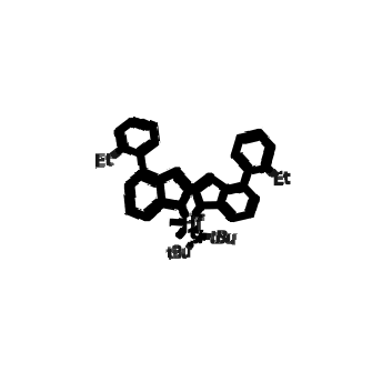 CCc1ccccc1-c1cccc2c1C=C[CH]2[Hf]([CH3])([CH3])([CH]1C=Cc2c(-c3ccccc3CC)cccc21)=[Si](C(C)(C)C)C(C)(C)C